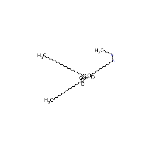 CCCCC/C=C\C/C=C\CCCCCCCCCCCC(=O)OC[C@@H](COC(=O)CCCCCCCCCCCCCCCCC)OC(=O)CCCCCCCCCCCCCCCCCCCCC